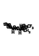 Cc1cc(N[C@@H]2CCCN(CC(=O)NC3CN(C(=O)OC(C)(C)C)C3)C2)nnc1-c1ccc(C(F)(F)F)cc1O